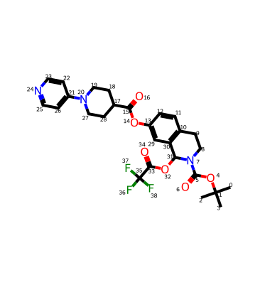 CC(C)(C)OC(=O)N1CCc2ccc(OC(=O)C3CCN(c4ccncc4)CC3)cc2C1OC(=O)C(F)(F)F